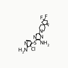 C[C@@H]1CC(F)(F)CC12CCN(c1cnc(Sc3ccnc(N)c3Cl)c(N)n1)CC2